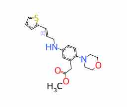 COC(=O)Cc1cc(NC/C=C/c2cccs2)ccc1N1CCOCC1